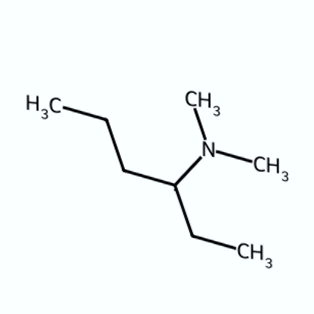 CCC[C](CC)N(C)C